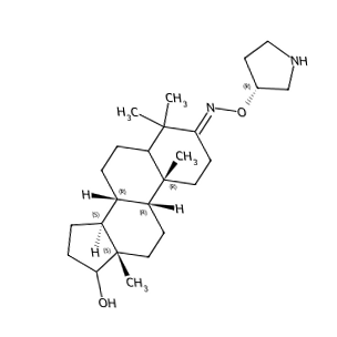 CC1(C)C(=NO[C@@H]2CCNC2)CC[C@@]2(C)C1CC[C@@H]1[C@H]2CC[C@]2(C)C(O)CC[C@@H]12